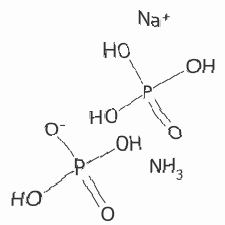 N.O=P(O)(O)O.O=P([O-])(O)O.[Na+]